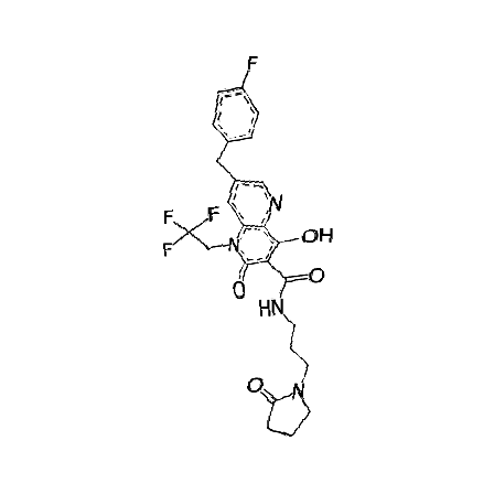 O=C(NCCCN1CCCC1=O)c1c(O)c2ncc(Cc3ccc(F)cc3)cc2n(CC(F)(F)F)c1=O